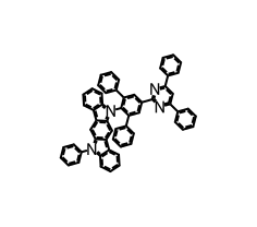 c1ccc(-c2cc(-c3ccccc3)nc(-c3cc(-c4ccccc4)c(-n4c5ccccc5c5cc6c(cc54)c4ccccc4n6-c4ccccc4)c(-c4ccccc4)c3)n2)cc1